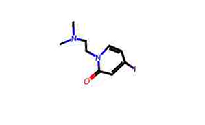 CN(C)CCn1ccc(I)cc1=O